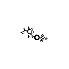 COC(C)C(CC(=O)Nc1ccc(S(=O)(=O)O)cc1)C(C)=O